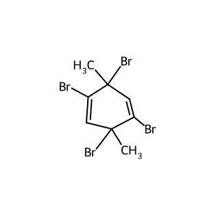 CC1(Br)C=C(Br)C(C)(Br)C=C1Br